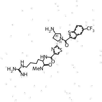 CNC(=O)C(CCCCNC(=N)N)NC(=O)c1csc([C@@H]2C[C@@H](N)CN2C(=O)c2cc3cc(C(F)(F)F)ccc3s2)n1